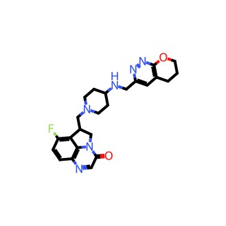 O=c1cnc2ccc(F)c3c2n1CC3CN1CCC(NCc2cc3c(nn2)OCCC3)CC1